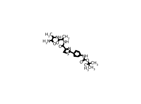 C=C(NC(=O)C(=C)NC(=O)c1csc(-c2ccc(NC(=O)OC(C)(C)C)cc2)n1)C(N)=O